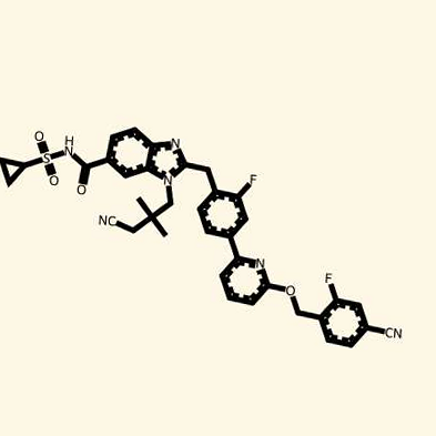 CC(C)(CC#N)Cn1c(Cc2ccc(-c3cccc(OCc4ccc(C#N)cc4F)n3)cc2F)nc2ccc(C(=O)NS(=O)(=O)C3CC3)cc21